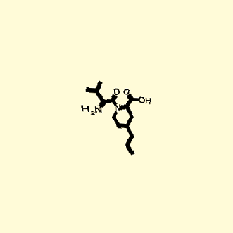 CCCC1CCN(C(=O)C(N)C(C)C)C(C(=O)O)C1